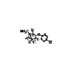 [2H]C1([2H])C(Oc2ccc(Cl)cn2)[C@@H]2C[C@H]1[C@@H](C)N2C(=O)O